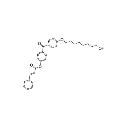 O=C(C=Cc1ccccc1)Oc1ccc(C(=O)c2ccc(OCCCCCCCCO)cc2)cc1